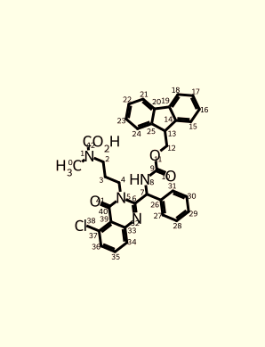 CN(CCCn1c(C(NC(=O)OCC2c3ccccc3-c3ccccc32)c2ccccc2)nc2cccc(Cl)c2c1=O)C(=O)O